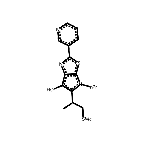 CCCn1c(C(C)CSC)c(O)c2nc(-c3cccnc3)sc21